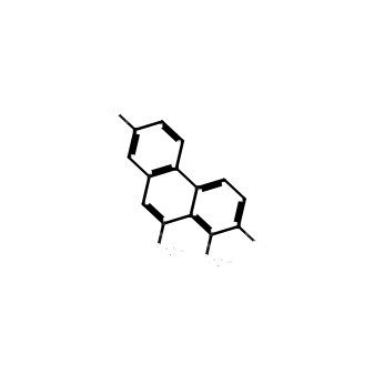 CCc1ccc2c(c1)cc(OC)c1c(OC)c(CC)ccc12